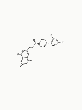 Cc1cc(F)cc2c(=O)[nH]c(CCC(=O)N3CC=C(c4ccc(F)cc4F)CC3)cc12